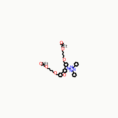 CCC1(COCCCCCOCc2ccc3oc4cc5c(cc4c3c2)c2cc(COCCCCCOCC3(CC)COC3)ccc2n5-c2nc(-c3ccccc3)nc(-c3ccccc3)n2)COC1